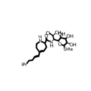 CSC1O[C@H]([C@H](NC(=O)C2CC=C(/C=C/CCC(C)C)CCN2)[C@H](C)Cl)C(O)C(O)[C@H]1O